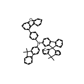 CC1(C)c2ccccc2-c2ccc(N(c3ccc(-c4cccc5oc6ccccc6c45)cc3)c3ccc4c(c3)C3(c5ccccc5-4)c4ccccc4C(C)(C)c4ccccc43)cc21